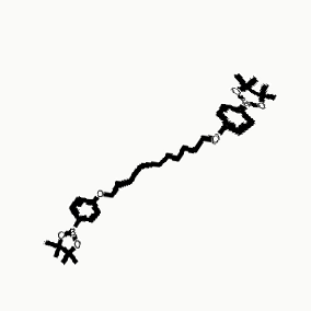 CC1(C)OB(c2ccc(OCCCCCCCCCCOc3ccc(B4OC(C)(C)C(C)(C)O4)cc3)cc2)OC1(C)C